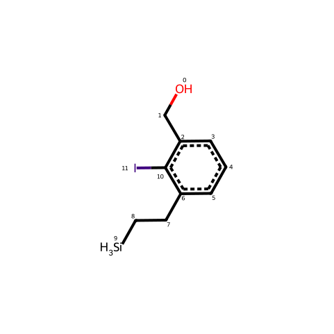 OCc1cccc(CC[SiH3])c1I